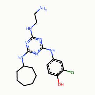 NCCNc1nc(Nc2ccc(O)c(Cl)c2)nc(NC2CCCCCC2)n1